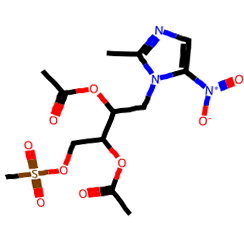 CC(=O)OC(COS(C)(=O)=O)C(Cn1c([N+](=O)[O-])cnc1C)OC(C)=O